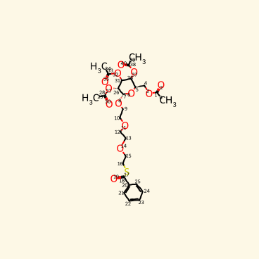 CC(=O)OC[C@H]1O[C@H](OCCOCCOCCSC(=O)c2ccccc2)[C@H](OC(C)=O)[C@@H](OC(C)=O)[C@H]1OC(C)=O